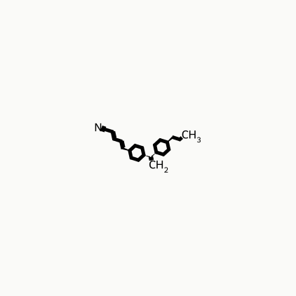 C=C([C@H]1CC[C@H](/C=C/C=C/C#N)CC1)[C@H]1CC[C@H](CCC)CC1